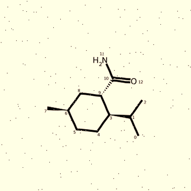 CC(C)[C@H]1CC[C@@H](C)C[C@@H]1C(N)=O